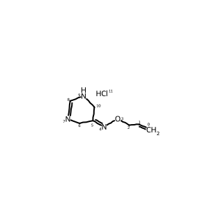 C=CCO/N=C1/CN=CNC1.Cl